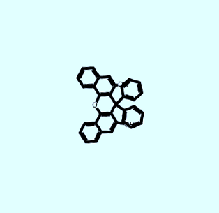 Oc1cc2ccccc2c2c1C(c1ccccc1)(c1ccccc1)c1c(O)cc3ccccc3c1O2